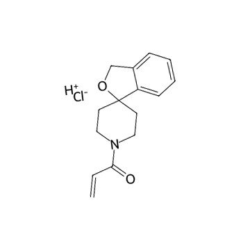 C=CC(=O)N1CCC2(CC1)OCc1ccccc12.[Cl-].[H+]